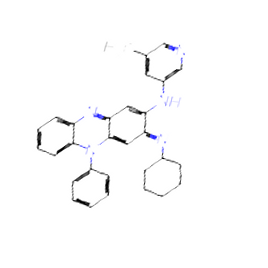 Cc1cncc(Nc2cc3nc4ccccc4n(-c4ccccc4)c-3c/c2=N\C2CCCCC2)c1